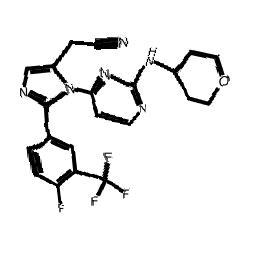 N#CCc1cnc(-c2ccc(F)c(C(F)(F)F)c2)n1-c1ccnc(NC2CCOCC2)n1